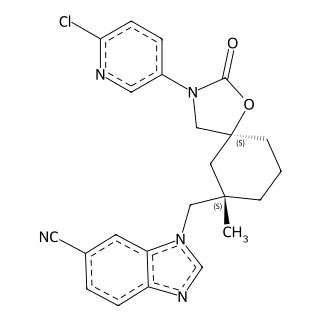 C[C@]1(Cn2cnc3ccc(C#N)cc32)CCC[C@@]2(CN(c3ccc(Cl)nc3)C(=O)O2)C1